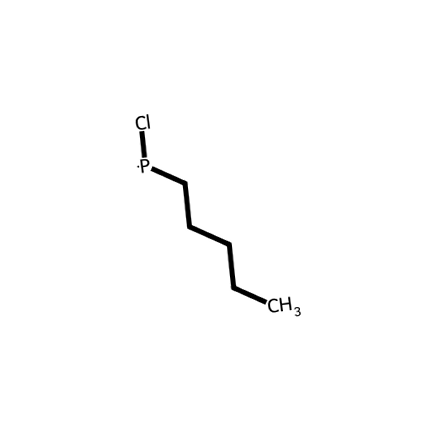 CCCCC[P]Cl